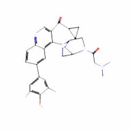 CN(C)CC(=O)N1CC2CC1CN2c1c(C(=O)C2CC2)cnc2ccc(-c3cc(F)c(O)c(Cl)c3)cc12